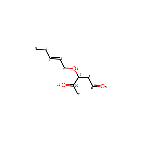 CCC=CCOC(CC=O)C(C)=O